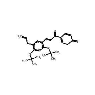 C=CCc1cc(C=CC(=O)C2=CCC(=S)C=C2)c(OC(C)(C)C)cc1OC(C)(C)C